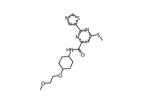 COCCOC1CCC(NC(=O)c2cc(SC)nc(-c3cncs3)n2)CC1